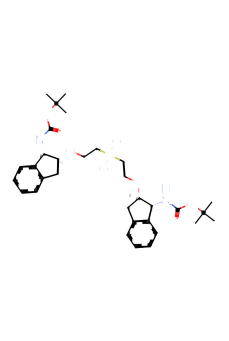 CC(C)(C)OC(=O)N[C@H]1c2ccccc2C[C@H]1OCCS(=O)(=O)CCO[C@@H]1Cc2ccccc2[C@@H]1NC(=O)OC(C)(C)C